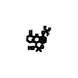 CC1(C)Oc2ccc(OC(F)(F)F)cc2C(N2CCCN/C2=N/C#N)C1O